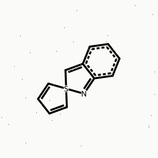 C1=CS2(C=C1)C=c1ccccc1=N2